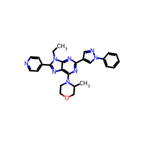 CCn1c(-c2ccncc2)nc2c(N3CCOCC3C)nc(-c3cnn(-c4ccccc4)c3)nc21